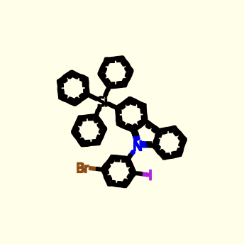 Brc1ccc(I)c(-n2c3ccccc3c3ccc([Si](c4ccccc4)(c4ccccc4)c4ccccc4)cc32)c1